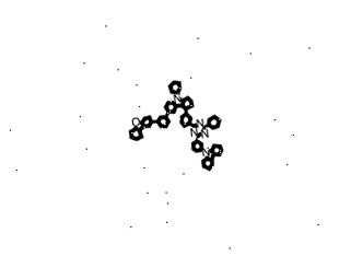 c1ccc(-c2nc(-c3cccc(-c4cccc5c4c4cc(-c6cccc(-c7ccc8oc9ccccc9c8c7)c6)ccc4n5-c4ccccc4)c3)nc(-c3cccc(-n4c5ccccc5c5ccccc54)c3)n2)cc1